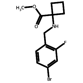 COC(=O)C1(NCc2ccc(Br)cc2F)CCC1